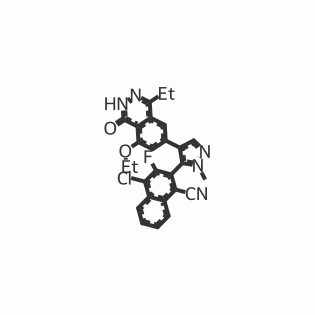 CCOc1cc(-c2cnn(C)c2-c2c(F)c(Cl)c3ccccc3c2C#N)cc2c(CC)n[nH]c(=O)c12